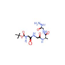 CC(NC(=O)CNC(=O)CNC(=O)OC(C)(C)C)C(=O)NCC(=O)NN